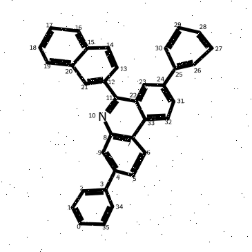 c1ccc(-c2ccc3c(c2)nc(-c2ccc4ccccc4c2)c2cc(-c4ccccc4)ccc23)cc1